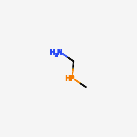 CPCN